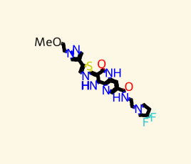 COCCn1cc(C2=CN/C(=C3\C(=N)c4ncc(C(=O)NCCN5CCC(F)(F)C5)cc4NC3=O)S2)cn1